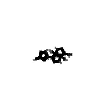 O[C@@H]1CO[C@H]2[C@@H]1OC[C@@H]2n1cc(I)cn1